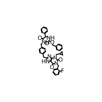 O=C(NC(C(=O)NCc1ccc(Cc2nc3c([nH]2)c(=O)n(Cc2ccccc2F)c(=O)n3CC2CC2)cc1)c1ccccc1)OCc1ccccc1